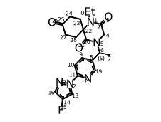 CCN1C(=O)CN([C@@H](C)c2ccc(-n3cc(F)cn3)nc2)C(=O)C12CCC(=O)CC2